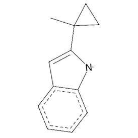 CC1(C2=Cc3ccccc3[N]2)CC1